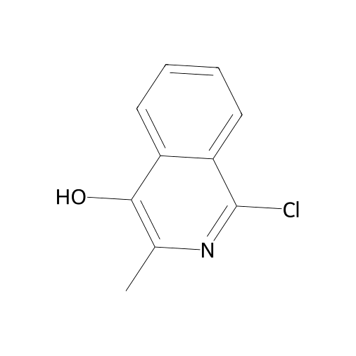 Cc1nc(Cl)c2ccccc2c1O